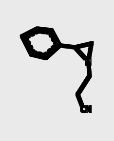 N#CCCN1CC1c1ccccc1